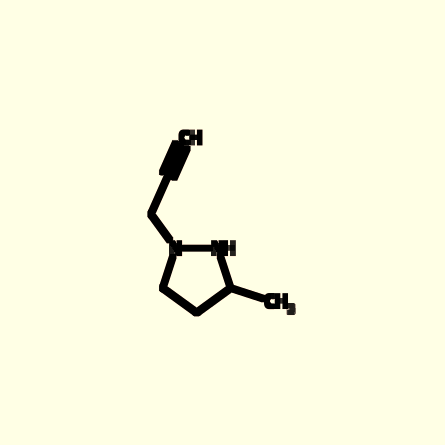 C#CCN1CCC(C)N1